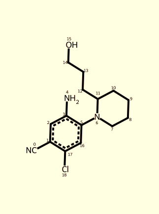 N#Cc1cc(N)c(N2CCCCC2CCCO)cc1Cl